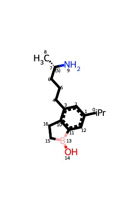 CC(C)c1cc(CCC[C@H](C)N)c2c(c1)B(O)CC2